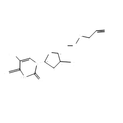 C=CCNOC[C@H]1O[C@@H](n2cc(C)c(=O)[nH]c2=O)CC1O